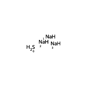 S.[NaH].[NaH].[NaH]